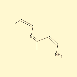 C\C=C/N=C(C)\C=C/N